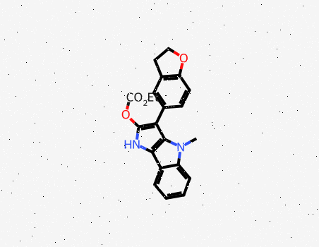 CCOC(=O)Oc1[nH]c2c3ccccc3n(C)c2c1-c1ccc2c(c1)CCO2